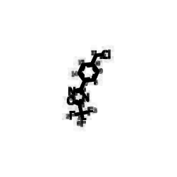 FC(F)(F)c1nc(-c2ccc(CCl)cc2)no1